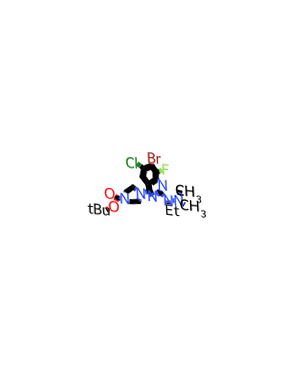 CCN(c1nc(N2CCN(C(=O)OC(C)(C)C)CC2)c2cc(Cl)c(Br)c(F)c2n1)N(C)C